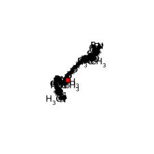 Cc1ncsc1-c1ccc(CNC(=O)[C@@H]2CCCN2C(=O)[C@@H](NC(=O)COCCCOCCCCOc2ccc(N3C(=S)N(c4ccc(C#N)c(C(F)(F)F)c4)C(=O)C3(C)C)cc2)C(C)(C)C)cc1